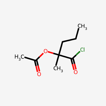 CCCC(C)(OC(C)=O)C(=O)Cl